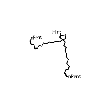 CCCCC/C=C\C/C=C\CCCCCCCCC1(CCCCCCCC/C=C\C/C=C\CCCCC)CCC(O)C1